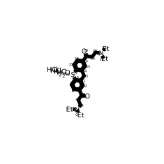 CCN(CC)CCC(=O)c1ccc2c(c1)Cc1cc(C(=O)CCN(CC)CC)ccc1S2.Cl.Cl.O.O